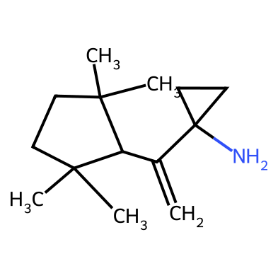 C=C(C1C(C)(C)CCC1(C)C)C1(N)CC1